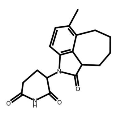 Cc1ccc2c3c1CCCCC3C(=O)N2C1CCC(=O)NC1=O